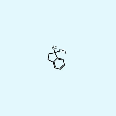 CC(=O)C1(C)CCc2ccccc21